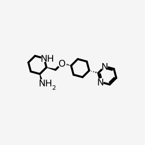 N[C@H]1CCCN[C@H]1CO[C@H]1CC[C@@H](c2ncccn2)CC1